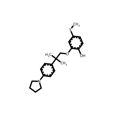 CSc1ccc(O)c(OCC(C)(C)c2ccc(N3CCCC3)cc2)c1